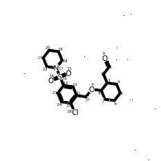 O=CCC1CCCCC1OCc1cc(S(=O)(=O)N2CCCCC2)ccc1Cl